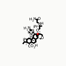 CC(C)[C@@H](C)[C@@]1(C)CC[C@]2(C)[C@H]3CC[C@@H]4[C@@]5(COC[C@]4(C)[C@@H](OC[C@](C)(NCC(N)=O)C(C)C)[C@H](n4nnc(N)n4)C5)C3=CC[C@@]2(C)[C@@H]1C(=O)O